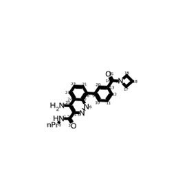 CCCNC(=O)c1nnc2c(-c3cccc(C(=O)N4CCC4)c3)cccc2c1N